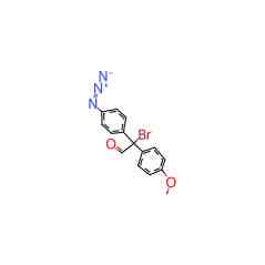 COc1ccc(C(Br)(C=O)c2ccc(N=[N+]=[N-])cc2)cc1